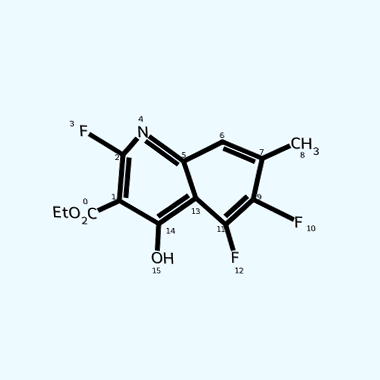 CCOC(=O)c1c(F)nc2cc(C)c(F)c(F)c2c1O